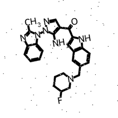 Cc1nc2ccccc2n1-n1ncc(C(=O)c2cc3cc(CN4CCCC(F)C4)ccc3[nH]2)c1N